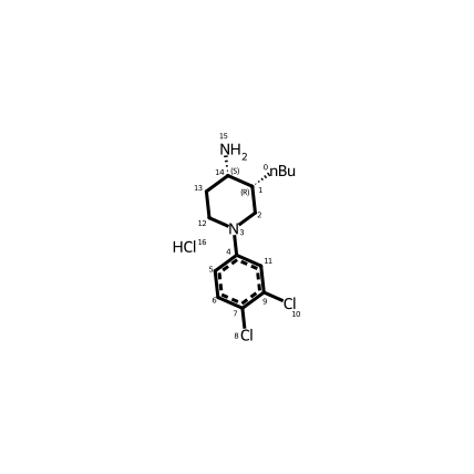 CCCC[C@@H]1CN(c2ccc(Cl)c(Cl)c2)CC[C@@H]1N.Cl